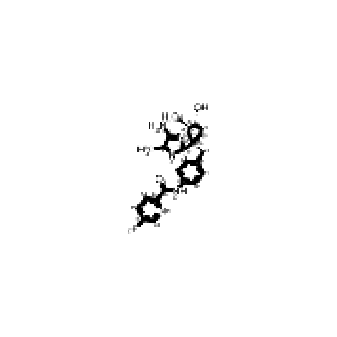 CC1=N[C@]2(N=C1N)c1cc(NC(=O)c3ccc(F)cn3)ccc1C[C@]21CC[C@@H](O)[C@H](C)C1